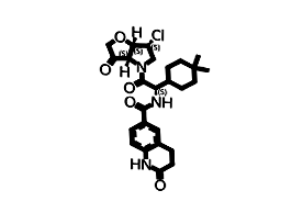 CC1(C)CCC([C@H](NC(=O)c2ccc3c(c2)CCC(=O)N3)C(=O)N2C[C@H](Cl)[C@H]3OCC(=O)[C@H]32)CC1